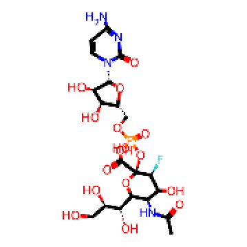 CC(=O)N[C@H]1C([C@H](O)[C@H](O)CO)O[C@](OP(=O)(O)OC[C@H]2O[C@@H](n3ccc(N)nc3=O)[C@H](O)[C@@H]2O)(C(=O)O)[C@@H](F)C1O